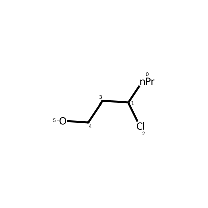 CCCC(Cl)CC[O]